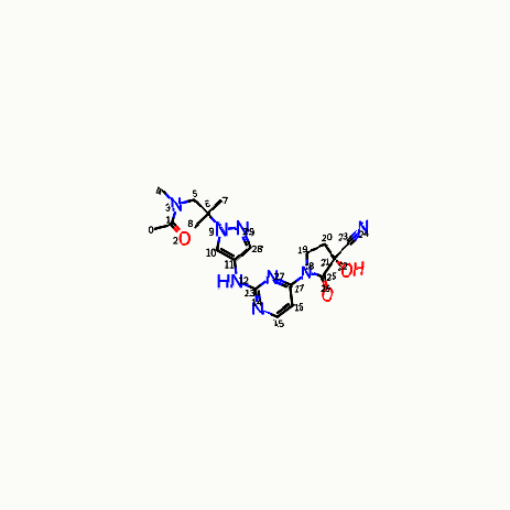 CC(=O)N(C)CC(C)(C)n1cc(Nc2nccc(N3CC[C@](O)(C#N)C3=O)n2)cn1